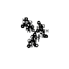 O=C(Cc1c[nH]c2ccccc12)N[C@@H](CNC(=O)OCc1ccccc1)C(=O)Nc1ccc(C(c2ccc(NC(=O)[C@H](CNC(=O)OCc3ccccc3)NC(=O)Cc3c[nH]c4ccccc34)cc2)c2ccc(NC(=O)[C@H](CNC(=O)OCc3ccccc3)NC(=O)Cc3c[nH]c4ccccc34)cc2)cc1